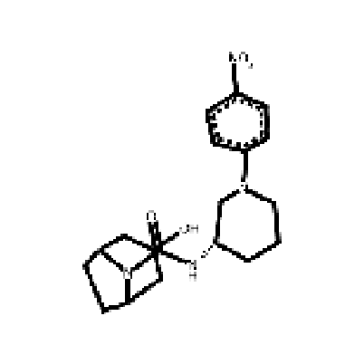 O=C(N[C@H]1CCCN(c2ccc([N+](=O)[O-])cc2)C1)N1C2CCC1CC(O)C2